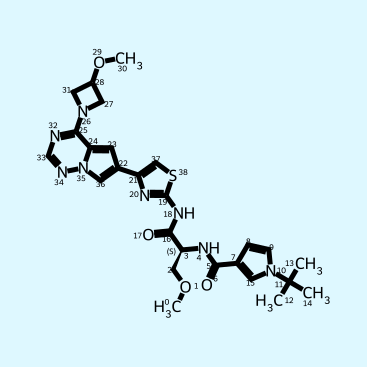 COC[C@H](NC(=O)c1ccn(C(C)(C)C)c1)C(=O)Nc1nc(-c2cc3c(N4CC(OC)C4)ncnn3c2)cs1